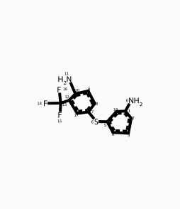 Nc1cccc(Sc2ccc(N)c(C(F)(F)F)c2)c1